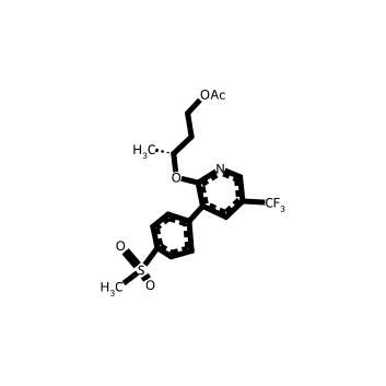 CC(=O)OCC[C@@H](C)Oc1ncc(C(F)(F)F)cc1-c1ccc(S(C)(=O)=O)cc1